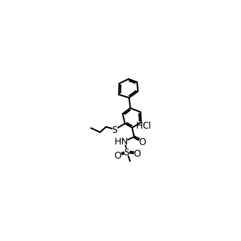 CCCSc1cc(-c2ccccc2)ccc1C(=O)NS(C)(=O)=O.Cl